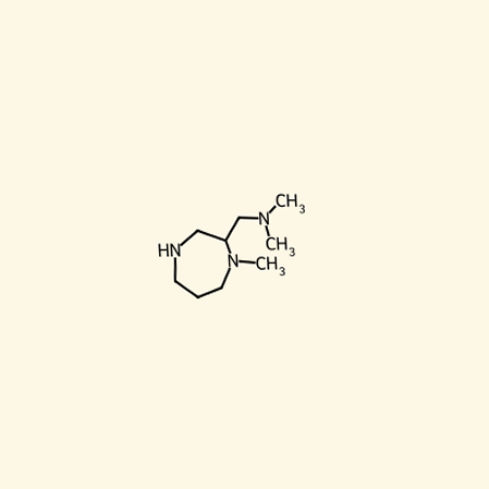 CN(C)CC1CNCCCN1C